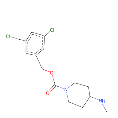 CNC1CCN(C(=O)OCc2cc(Cl)cc(Cl)c2)CC1